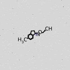 C#CCO/N=C1\CCc2cc(C)ccc21